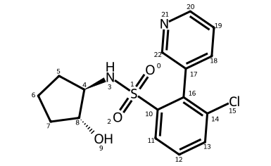 O=S(=O)(N[C@@H]1CCC[C@H]1O)c1cccc(Cl)c1-c1cccnc1